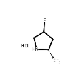 Cl.FC1CN[C@@H](C(F)(F)F)C1